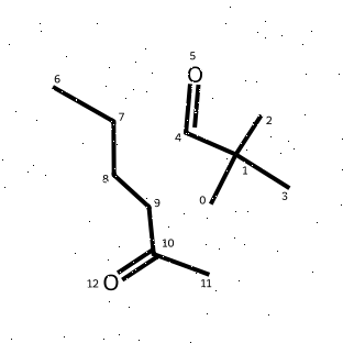 CC(C)(C)C=O.CCCCC(C)=O